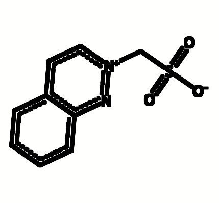 O=S(=O)([O-])C[n+]1ccc2ccccc2n1